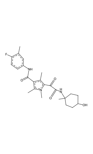 Cc1cc(NC(=O)c2c(C)c(C(=O)C(=O)NC3(C)CCC(O)CC3)n(C)c2C)ccc1F